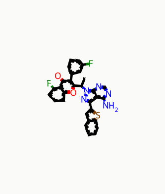 CC(c1oc2cccc(F)c2c(=O)c1-c1cccc(F)c1)n1nc(-c2cc3ccccc3s2)c2c(N)ncnc21